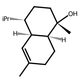 CC1=C[C@H]2[C@H](C(C)C)CC[C@](C)(O)[C@H]2CC1